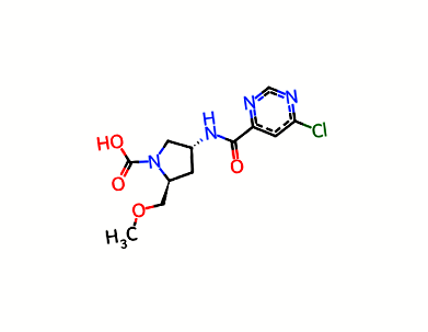 COC[C@@H]1C[C@@H](NC(=O)c2cc(Cl)ncn2)CN1C(=O)O